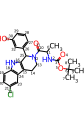 CC(NC(=O)OC(C)(C)C)C(=O)N1CCc2c([nH]c3ccc(Cl)cc23)C1c1cccc(O)c1